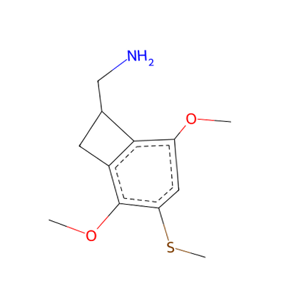 COc1cc(SC)c(OC)c2c1C(CN)C2